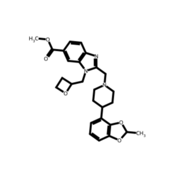 COC(=O)c1ccc2nc(CN3CCC(c4cccc5c4OC(C)O5)CC3)n(CC3CCO3)c2c1